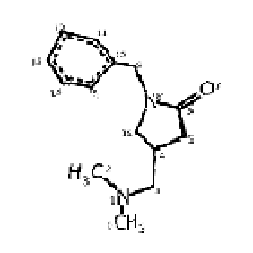 CN(C)CC1CC(=O)N(Cc2ccccc2)C1